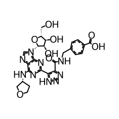 O=C(O)c1ccc(CNC(=O)c2nn[nH]c2-c2nc(N[C@@H]3CCOC3)c3ncn([C@@H]4O[C@H](CO)[C@@H](O)[C@H]4O)c3n2)cc1